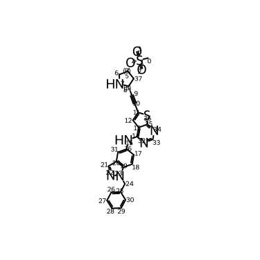 CS(=O)(=O)O[C@H]1CN[C@H](C#Cc2cc3c(Nc4ccc5c(cnn5Cc5ccccc5)c4)ncnc3s2)C1